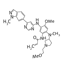 C=CC(=O)Nc1cc(Nc2cc(-c3ccc4cnn(C)c4c3)ncn2)c(OC)cc1N(C)C1CCN(CCOC)C1